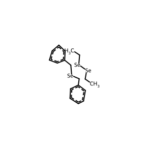 CC[Se][Se]CC.c1ccc(C[Se]Cc2ccccc2)cc1